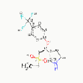 CCS(=O)(=O)C[C@@H](Oc1ccc(C(F)(F)F)cc1)C1CCNC1